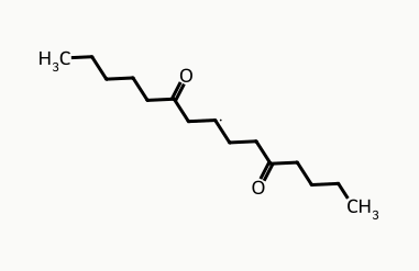 CCCCCC(=O)C[CH]CCC(=O)CCCC